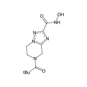 CC(C)(C)C(=O)N1CCn2nc(C(=O)NO)nc2C1